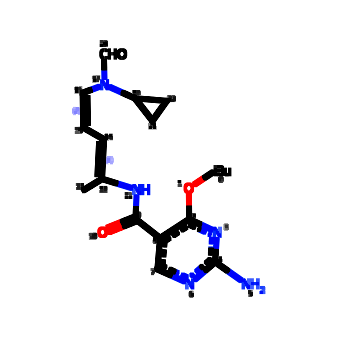 CCC(C)Oc1nc(N)ncc1C(=O)N/C(C)=C/C=C\N(C=O)C1CC1